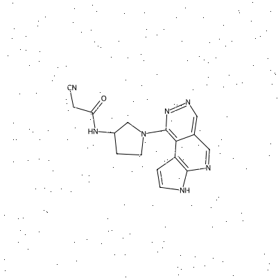 N#CCC(=O)NC1CCN(c2nncc3cnc4[nH]ccc4c23)C1